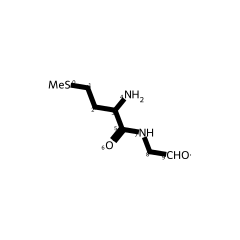 CSCCC(N)C(=O)NC[C]=O